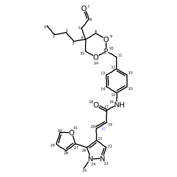 CCCCC1(CC=O)COP(Cc2ccc(NC(=O)/C=C/c3cnn(C)c3-c3ccco3)cc2)OC1